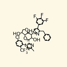 Cc1nc([C@@H]2OC3C(O)CO[C@@H]3C(n3cc(-c4cc(F)c(F)c(F)c4)c(Cc4ccccc4)n3)C2O)n(-c2cc(Cl)ccc2C(F)(F)F)n1